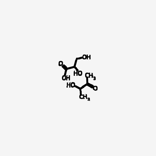 CC(=O)C(C)O.O=C(O)C(O)CO